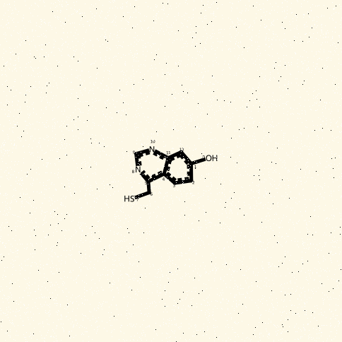 Oc1ccc2c(CS)ncnc2c1